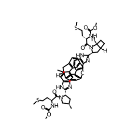 COC(=O)N[C@@H](CCSC)C(=O)N1C[C@H](C)C[C@H]1c1nc2cc(-c3cc4ccc3C[C@@H](C)c3ccc(c(-c5ccc6[nH]c([C@@H]7C[C@H]8CC[C@H]8N7C(=O)[C@H](CCSC)NC(=O)OC)nc6c5)c3)CC4)ccc2[nH]1